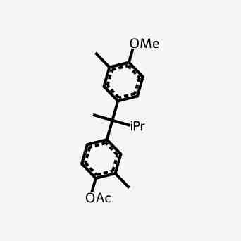 COc1ccc(C(C)(c2ccc(OC(C)=O)c(C)c2)C(C)C)cc1C